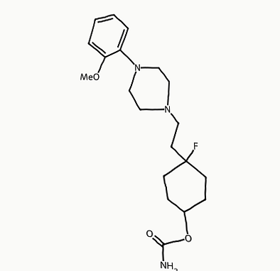 COc1ccccc1N1CCN(CCC2(F)CCC(OC(N)=O)CC2)CC1